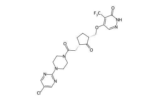 O=C1[C@@H](COc2cn[nH]c(=O)c2C(F)(F)F)CC[C@H]1CC(=O)N1CCN(c2ncc(Cl)cn2)CC1